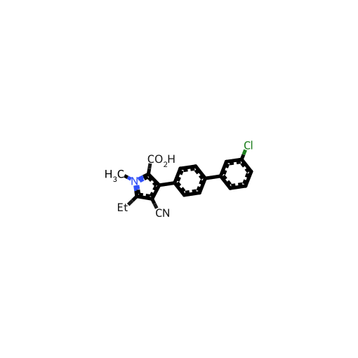 CCc1c(C#N)c(-c2ccc(-c3cccc(Cl)c3)cc2)c(C(=O)O)n1C